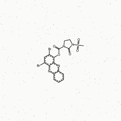 CS(=O)(=O)N1CCN(C(=O)Oc2c(Br)cc(Br)c3nc4ccccc4nc23)C1=O